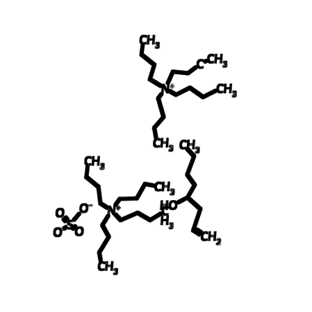 C=CCC(O)CCCC.CCCC[N+](CCCC)(CCCC)CCCC.CCCC[N+](CCCC)(CCCC)CCCC.O=S(=O)([O-])[O-]